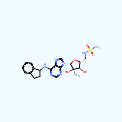 C[C@@]1(O)[C@H](O)[C@@H](CNS(N)(=O)=O)O[C@H]1n1cnc2c(NC3CCc4ccccc43)ncnc21